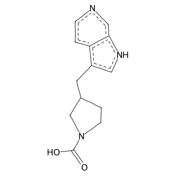 O=C(O)N1CCC(Cc2c[nH]c3cnccc23)C1